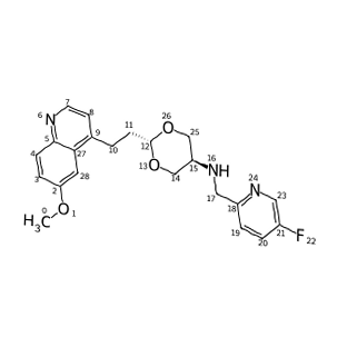 COc1ccc2nccc(CC[C@H]3OC[C@H](NCc4ccc(F)cn4)CO3)c2c1